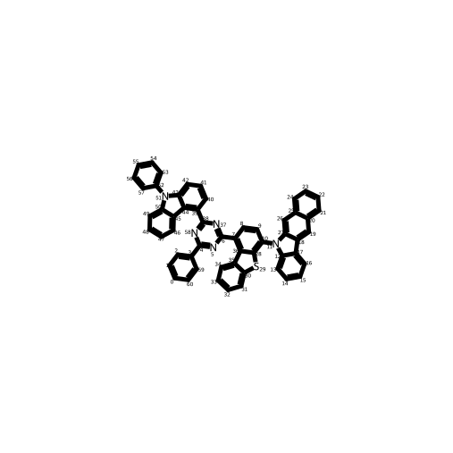 c1ccc(-c2nc(-c3ccc(-n4c5ccccc5c5cc6ccccc6cc54)c4sc5ccccc5c34)nc(-c3cccc4c3c3ccccc3n4-c3ccccc3)n2)cc1